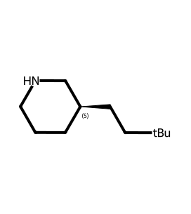 CC(C)(C)CC[C@H]1CCCNC1